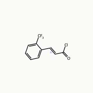 O=C(Cl)/C=C/c1ccccc1C(F)(F)F